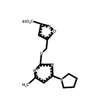 CCOC(=O)c1cc(COc2nc(C)cc(N3CCCC3)n2)on1